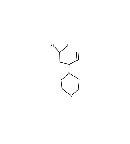 C=CC(CC(F)CC)N1CCNCC1